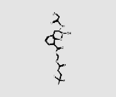 CCC(=O)N[C@H]1Cc2cccc(C(=O)OCOC(=O)CCC(F)(F)F)c2OB1O